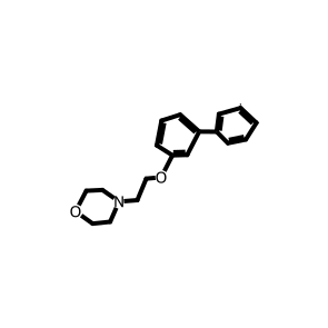 [c]1cccc(-c2cccc(OCCN3CCOCC3)c2)c1